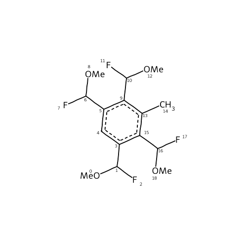 COC(F)c1cc(C(F)OC)c(C(F)OC)c(C)c1C(F)OC